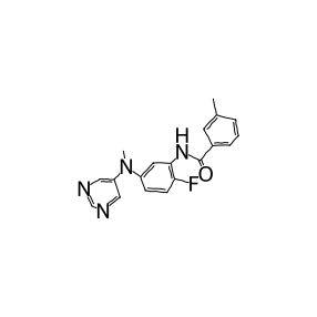 Cc1cccc(C(=O)Nc2cc(N(C)c3cncnc3)ccc2F)c1